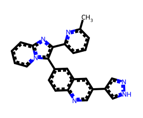 Cc1cccc(-c2nc3ccccn3c2-c2ccc3ncc(-c4cn[nH]c4)cc3c2)n1